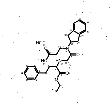 CCOC(=O)C(CCc1ccccc1)N[C@@H](C)C(=O)N(CCC(=O)O)C1Cc2ccccc2C1.Cl